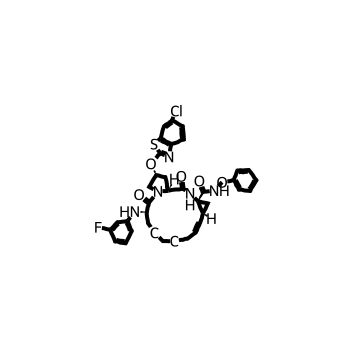 O=C1N[C@]2(C(=O)NOc3ccccc3)C[C@H]2/C=C\CCCCC[C@H](Nc2cccc(F)c2)C(=O)N2C[C@H](Oc3nc4ccc(Cl)cc4s3)C[C@@H]12